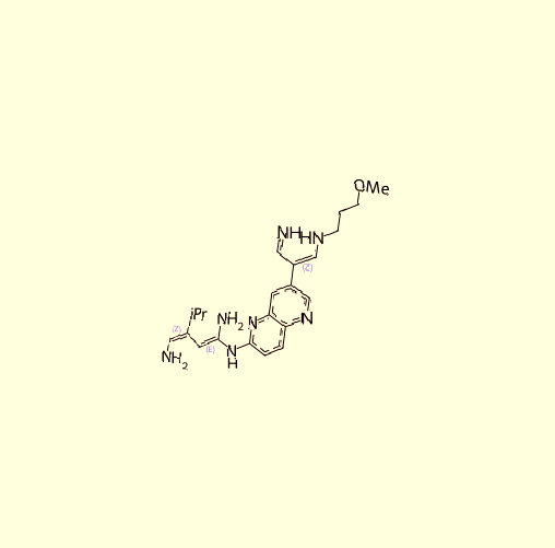 COCCCN/C=C(\C=N)c1cnc2ccc(N/C(N)=C/C(=C\N)C(C)C)nc2c1